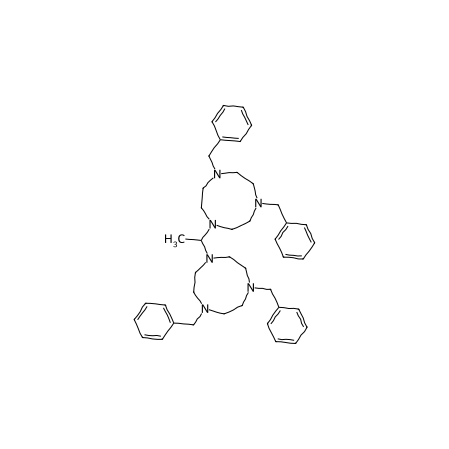 CC(N1CCN(Cc2ccccc2)CCN(Cc2ccccc2)CC1)N1CCN(Cc2ccccc2)CCN(Cc2ccccc2)CC1